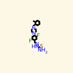 Cc1ccccc1CN1CCN(c2cc(F)c(C=NNC(N)=S)cc2F)CC1